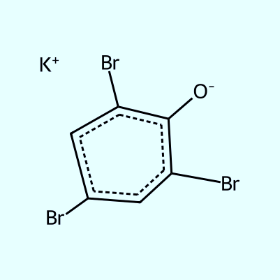 [K+].[O-]c1c(Br)cc(Br)cc1Br